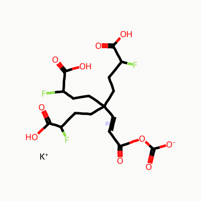 O=C([O-])OC(=O)/C=C/C(CCC(F)C(=O)O)(CCC(F)C(=O)O)CCC(F)C(=O)O.[K+]